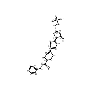 CS(=O)(=O)OC[C@H]1CN(c2ccc(C3=CCN(C(=O)OCc4ccccc4)CC3)cc2)C(=O)O1